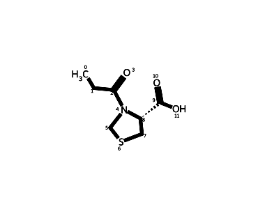 CCC(=O)N1CSC[C@H]1C(=O)O